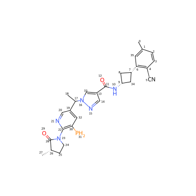 Cc1ccc(C#N)c([C@H]2C[C@@H](NC(=O)c3cnn(C(C)c4cnc(N5CC[C@H](C)C5=O)c(P)c4)c3)C2)c1